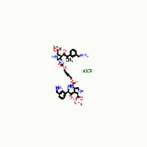 COC(=O)C1NCC(NC(=O)OCC#CCOC(=O)NC2CNC(C(=O)OC)C2C(=O)C(C)c2cccc(CN)c2)C1C(=O)C(C)c1cccc(CN)c1.Cl.Cl